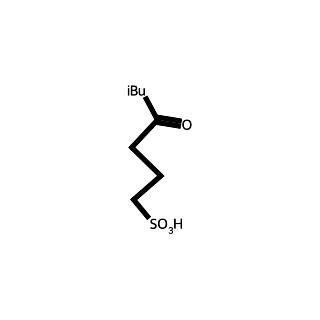 CCC(C)C(=O)CCCS(=O)(=O)O